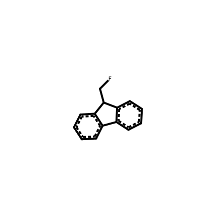 FCC1c2ccccc2-c2ccccc21